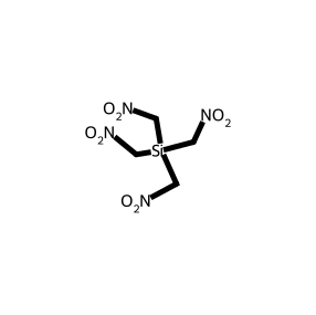 O=[N+]([O-])C[Si](C[N+](=O)[O-])(C[N+](=O)[O-])C[N+](=O)[O-]